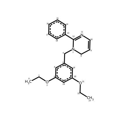 CCOc1cc(CN2C[C]=CN=C2c2ccccc2)cc(OCC)c1